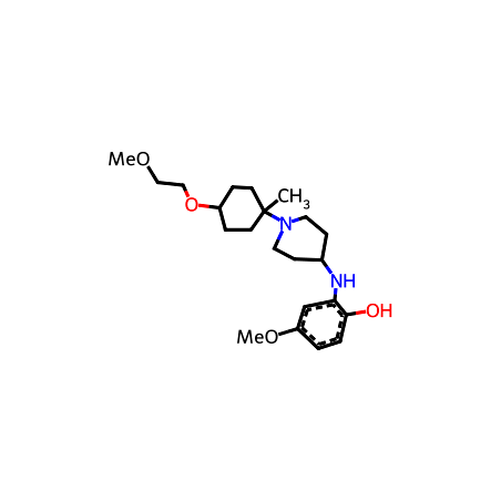 COCCOC1CCC(C)(N2CCC(Nc3cc(OC)ccc3O)CC2)CC1